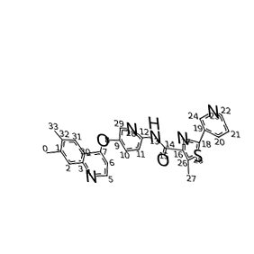 Cc1cc2nccc(Oc3ccc(NC(=O)c4nc(-c5cccnc5)sc4C)nc3)c2cc1C